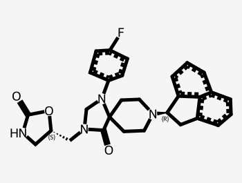 O=C1NC[C@@H](CN2CN(c3ccc(F)cc3)C3(CCN([C@@H]4Cc5cccc6cccc4c56)CC3)C2=O)O1